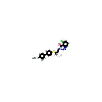 COc1ccc(-c2ccc(SC(CCn3nnc4cccc(Cl)c4c3=O)C(=O)O)cc2)cc1F